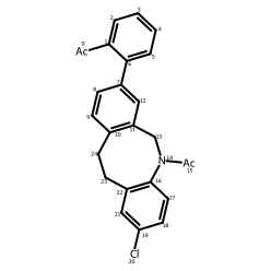 CC(=O)c1ccccc1-c1ccc2c(c1)CN(C(C)=O)c1ccc(Cl)cc1CC2